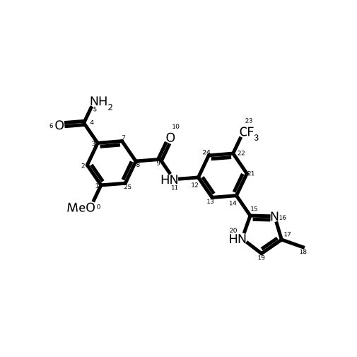 COc1cc(C(N)=O)cc(C(=O)Nc2cc(-c3nc(C)c[nH]3)cc(C(F)(F)F)c2)c1